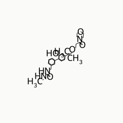 CCNC(=O)NCc1cccc(-c2ccc(C(C)(C)COCCC(=O)N3CCOCC3)cc2O)c1